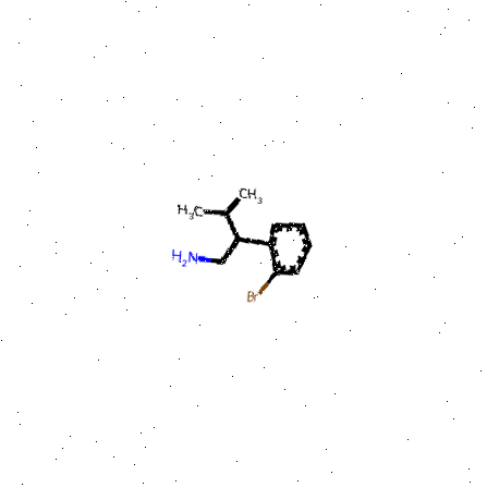 CC(C)C(CN)c1ccccc1Br